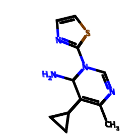 CC1=C(C2CC2)C(N)N(c2nccs2)C=N1